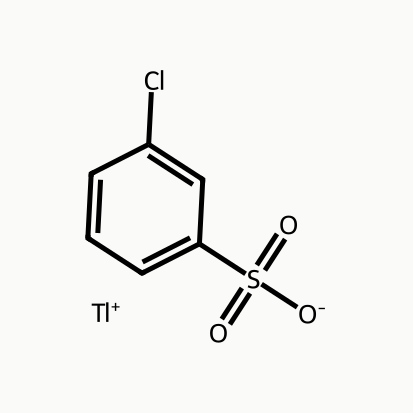 O=S(=O)([O-])c1cccc(Cl)c1.[Tl+]